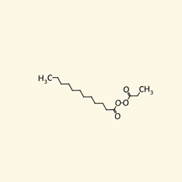 CCCCCCCCCCCC(=O)OOC(=O)CC